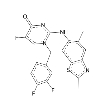 Cc1nc2cc(C)c(Nc3nc(=O)c(F)cn3Cc3ccc(F)c(F)c3)cc2s1